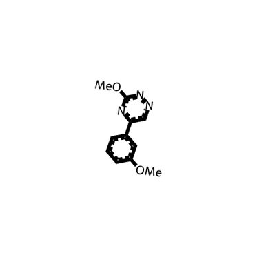 COc1cccc(-c2cnnc(OC)n2)c1